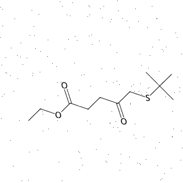 CCOC(=O)CCC(=O)CSC(C)(C)C